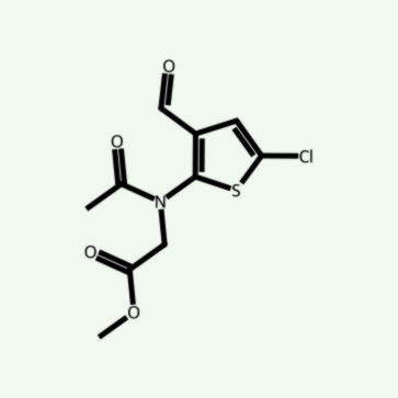 COC(=O)CN(C(C)=O)c1sc(Cl)cc1C=O